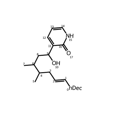 CCCCCCCCCCC=CCC(C)C(C)CC(O)c1ccc[nH]c1=O